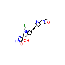 O=c1[nH]cnc(C(CNCCF)Cc2ccc(C#Cc3ccc(CN4CCOCC4)nc3)cc2)c1O